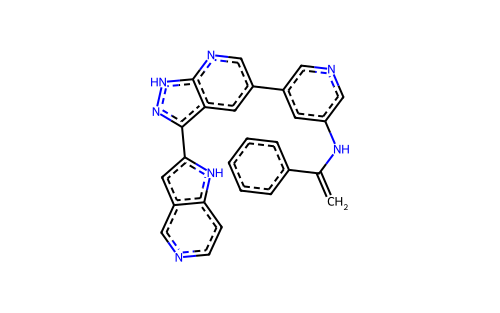 C=C(Nc1cncc(-c2cnc3[nH]nc(-c4cc5cnccc5[nH]4)c3c2)c1)c1ccccc1